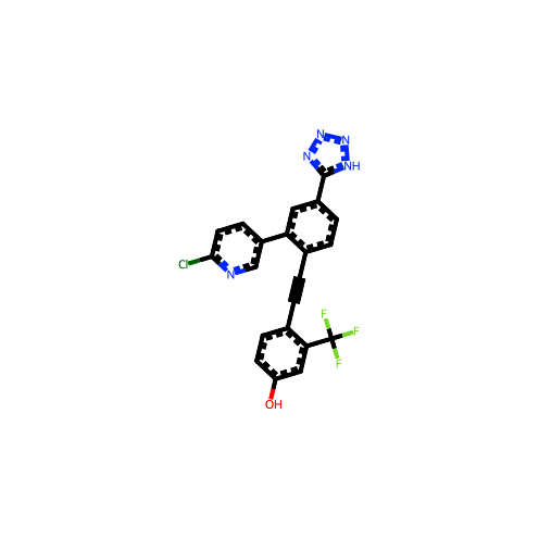 Oc1ccc(C#Cc2ccc(-c3nnn[nH]3)cc2-c2ccc(Cl)nc2)c(C(F)(F)F)c1